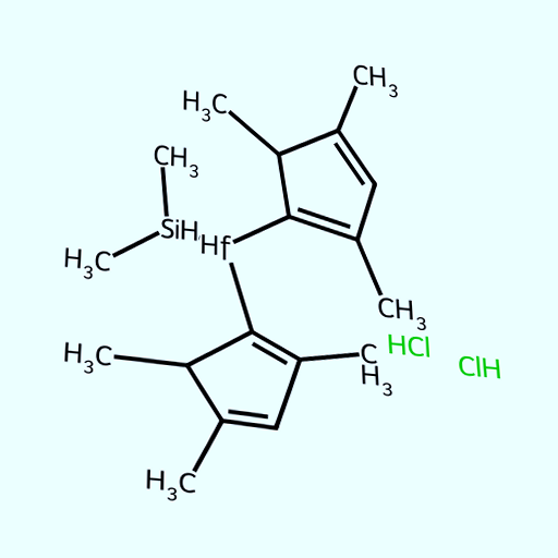 CC1=CC(C)=[C]([Hf]([C]2=C(C)C=C(C)C2C)[SiH](C)C)C1C.Cl.Cl